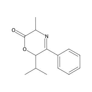 CC1N=C(c2ccccc2)C(C(C)C)OC1=O